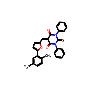 Cc1ccc([N+](=O)[O-])cc1-c1ccc(C=C2C(=O)N(c3ccccc3)C(=S)N(c3ccccc3)C2=O)o1